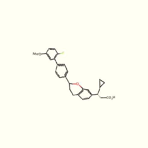 COc1ccc(F)c(-c2ccc(C3CCc4ccc([C@@H](CC(=O)O)C5CC5)cc4O3)cc2)c1